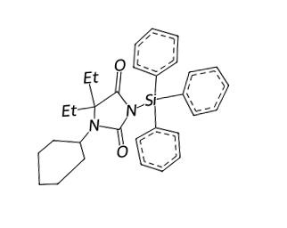 CCC1(CC)C(=O)N([Si](c2ccccc2)(c2ccccc2)c2ccccc2)C(=O)N1C1CCCCC1